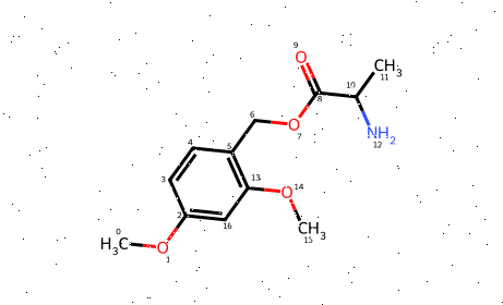 COc1ccc(COC(=O)C(C)N)c(OC)c1